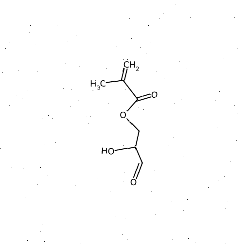 C=C(C)C(=O)OCC(O)C=O